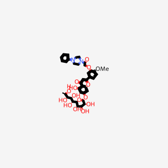 COc1ccc(-c2cc(=O)c3c(O)cc(OC4O[C@H]([C@H](O)[C@@H](O)[C@H](O)[C@@H](C)O)[C@@H](O)[C@H](O)[C@H]4O)cc3o2)cc1OCC(=O)N1CCN(c2ccccc2)CC1